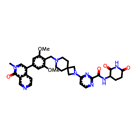 COc1cc(-c2cn(C)c(=O)c3cnccc23)cc(OC)c1CN1CCC2(CC1)CN(c1ccnc(C(=O)NC3CCC(=O)NC3=O)n1)C2